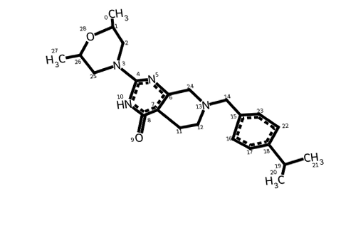 CC1CN(c2nc3c(c(=O)[nH]2)CCN(Cc2ccc(C(C)C)cc2)C3)CC(C)O1